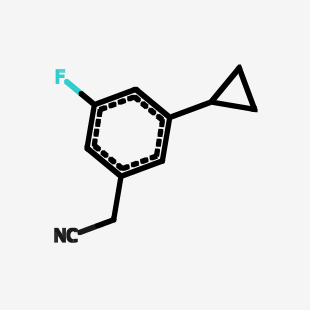 N#CCc1cc(F)cc(C2CC2)c1